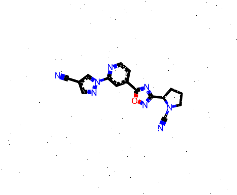 N#Cc1cnn(-c2cc(-c3nc(C4CCCN4C#N)no3)ccn2)c1